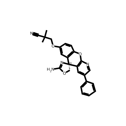 CC(C)(C#N)COc1ccc2c(c1)[C@@]1(COC(N)=N1)c1cc(-c3ccccc3)cnc1O2